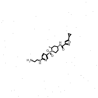 C[C@H]1C[C@@H](NC(=O)c2cc(C3CC3)on2)CCN1S(=O)(=O)c1ccc(NCCN)nc1